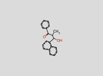 CC(C(=O)c1ccccc1)C(O)c1cccc2ccccc12